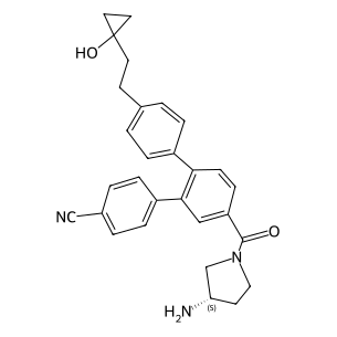 N#Cc1ccc(-c2cc(C(=O)N3CC[C@H](N)C3)ccc2-c2ccc(CCC3(O)CC3)cc2)cc1